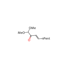 CCCCCC=CC(=O)C(OC)OC